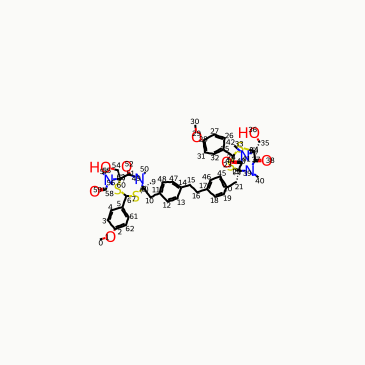 COc1ccc(C2S[C@](C)(Cc3ccc(CCc4ccc(C[C@@]56SC(c7ccc(OC)cc7)S[C@@](CO)(C(=O)N5C)N(C)C6=O)cc4)cc3)N(C)C(=O)[C@@](CO)(N(C)C=O)S2)cc1